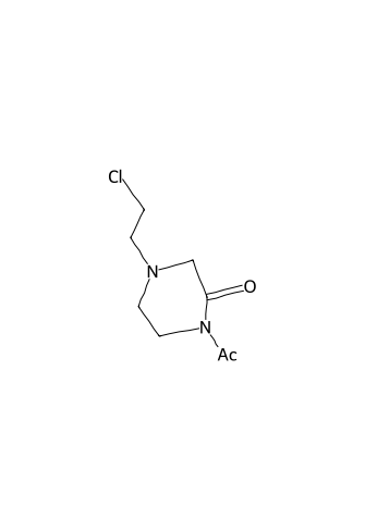 CC(=O)N1CCN(CCCl)CC1=O